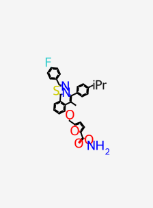 CC1=C(c2ccc(C(C)C)cc2)N2N=C(c3ccc(F)cc3)SC2c2cccc(OCc3ccc(C(=O)ON)o3)c21